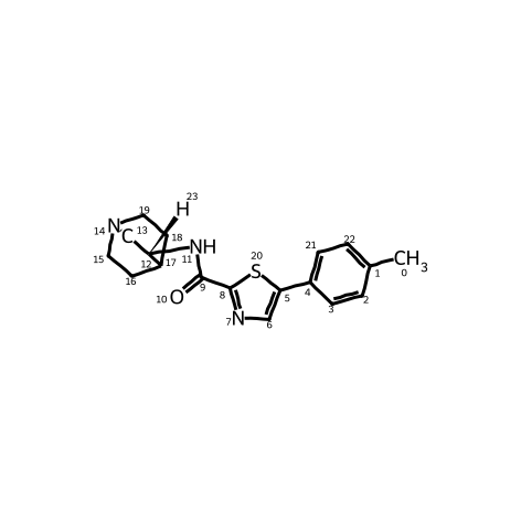 Cc1ccc(-c2cnc(C(=O)N[C@H]3CN4CCC3CC4)s2)cc1